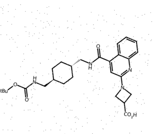 CC(C)(C)OC(=O)NC[C@H]1CC[C@H](CNC(=O)c2cc(N3CC(C(=O)O)C3)nc3ccccc23)CC1